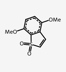 COc1ccc(OC)c2c1C=CS2(=O)=O